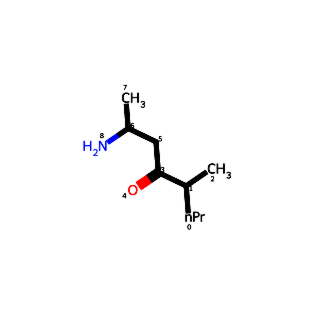 CCCC(C)C(=O)CC(C)N